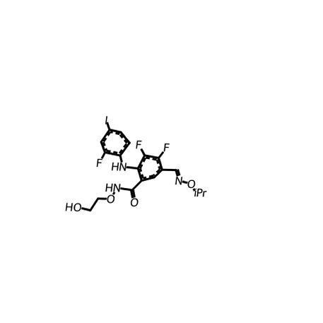 CC(C)ON=Cc1cc(C(=O)NOCCO)c(Nc2ccc(I)cc2F)c(F)c1F